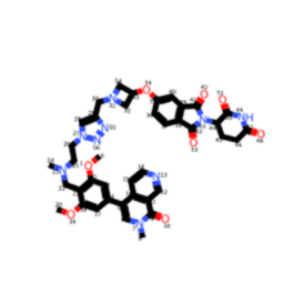 COc1cc(-c2cn(C)c(=O)c3cnccc23)cc(OC)c1CN(C)CCn1cc(CN2CC(Oc3ccc4c(c3)C(=O)N(C3CCC(=O)NC3=O)C4=O)C2)nn1